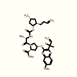 C=CCC[C@@H]1C[C@@H](C)C[C@H]1OC(=O)N[C@H](C(=O)N1C[C@H](Oc2nc3cc(OC)ccc3nc2C(F)(F)C=C)C[C@H]1C(=O)OC)C(C)(C)C